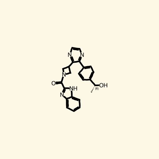 C[C@@H](O)c1ccc(-c2nccnc2C2CN(C(=O)c3nc4ccccc4[nH]3)C2)cc1